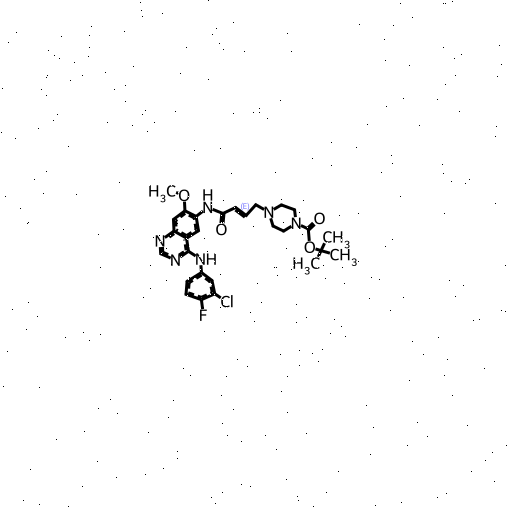 COc1cc2ncnc(Nc3ccc(F)c(Cl)c3)c2cc1NC(=O)/C=C/CN1CCN(C(=O)OC(C)(C)C)CC1